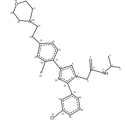 CC(C)NC(=O)Cn1cc(-c2ccc(CCN3CCOCC3)cc2F)nc1-c1cccc(Cl)c1